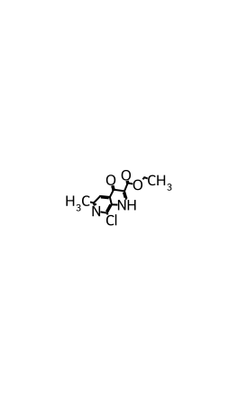 CCOC(=O)c1c[nH]c2c(Cl)nc(C)cc2c1=O